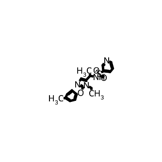 CCn1c(C(C)NS(=O)(=O)c2cccnc2)cnc1Oc1ccc(C)cc1